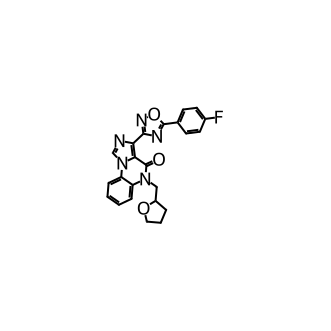 O=c1c2c(-c3noc(-c4ccc(F)cc4)n3)ncn2c2ccccc2n1CC1CCCO1